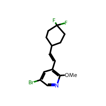 COc1ncc(Br)cc1C=CC1CCC(F)(F)CC1